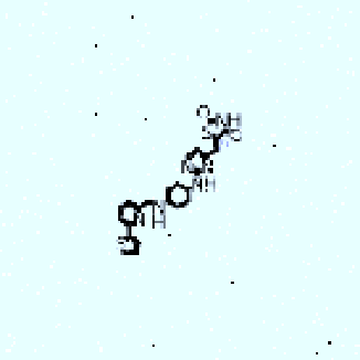 O=C1NC(=O)/C(=C/c2ccnc(N[C@H]3CC[C@@H](NCc4cccc(-c5cccs5)n4)CC3)n2)S1